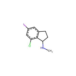 CNC1CCc2cc(I)cc(Cl)c21